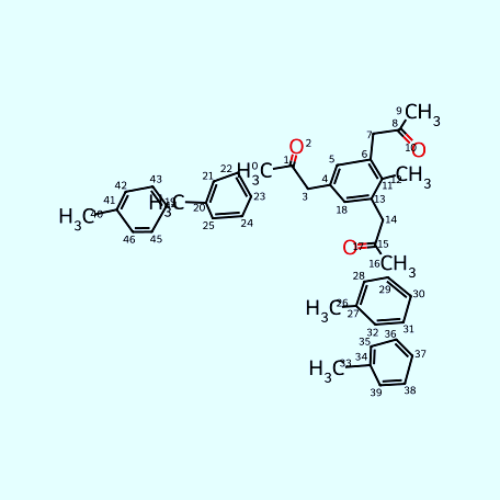 CC(=O)Cc1cc(CC(C)=O)c(C)c(CC(C)=O)c1.Cc1ccccc1.Cc1ccccc1.Cc1ccccc1.Cc1ccccc1